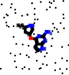 C[C@H]1C[C@@H](Oc2nc(N)nc3[nH]ccc23)CN1